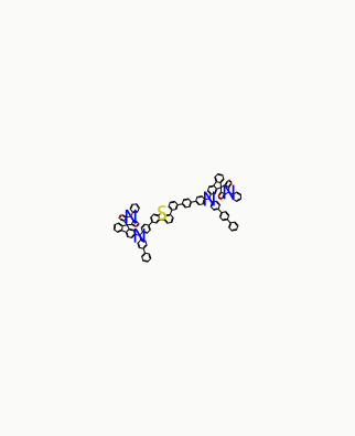 c1ccc(-c2ccc(-c3ccc(N(c4ccc(-c5ccc(-c6cccc(-c7cccc8c7sc7ccc(-c9ccc(N(c%10ccc(-c%11ccccc%11)cc%10)c%10ccc%11c(c%10)C%10(c%12ccccc%12-%11)c%11ccccc%11N(c%11ccccc%11)c%11ccccc%11%10)cc9)cc78)c6)cc5)cc4)c4ccc5c(c4)C4(c6ccccc6-5)c5ccccc5N(c5ccccc5)c5ccccc54)cc3)cc2)cc1